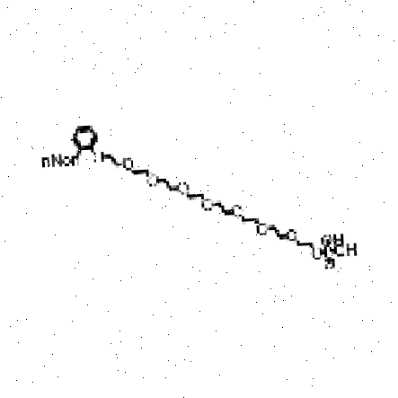 CCCCCCCCCc1ccccc1OCCOCCOCCOCCOCCOCCOCCOCCOP(=O)(O)O